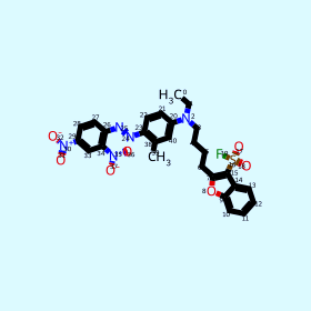 CCN(CCCCc1oc2ccccc2c1S(=O)(=O)F)c1ccc(N=Nc2ccc([N+](=O)[O-])cc2[N+](=O)[O-])c(C)c1